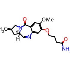 C=C1C[C@H]2C=Nc3cc(OCCCC(N)=O)c(OC)cc3C(=O)N2C1